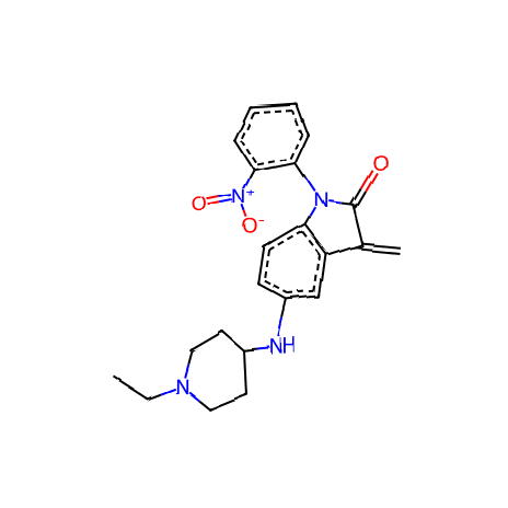 C=C1C(=O)N(c2ccccc2[N+](=O)[O-])c2ccc(NC3CCN(CC)CC3)cc21